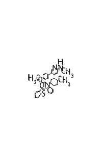 CNc1ccc(-c2ccc(OC)c(CN(C(=O)c3sc4ccccc4c3Cl)C3CCC(C)CC3)c2)cn1